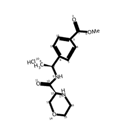 COC(=O)c1ccc([C@H](C)NC(=O)[C@@H]2COCCN2)cc1.Cl